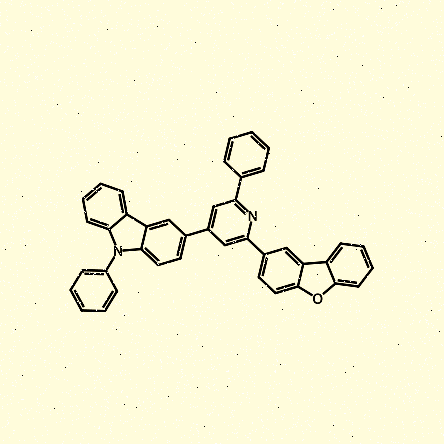 c1ccc(-c2cc(-c3ccc4c(c3)c3ccccc3n4-c3ccccc3)cc(-c3ccc4oc5ccccc5c4c3)n2)cc1